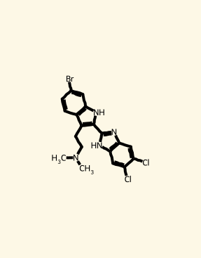 CN(C)CCc1c(-c2nc3cc(Cl)c(Cl)cc3[nH]2)[nH]c2cc(Br)ccc12